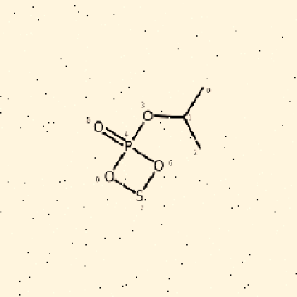 CC(C)OP1(=O)OSO1